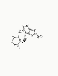 CC1CCCCC1Nc1c(C#N)cnn2cc(N=O)cc12